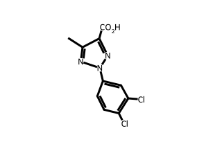 Cc1nn(-c2ccc(Cl)c(Cl)c2)nc1C(=O)O